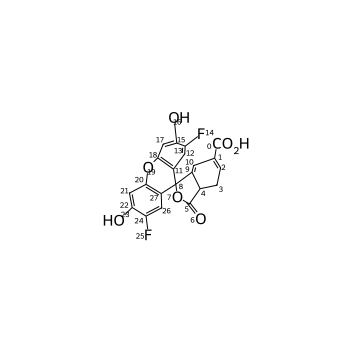 O=C(O)C1=CCC2C(=O)OC3(C2=C1)c1cc(F)c(O)cc1Oc1cc(O)c(F)cc13